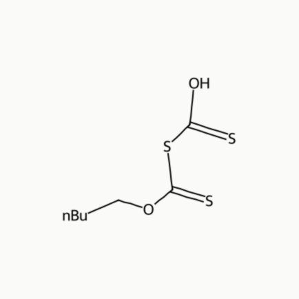 CCCCCOC(=S)SC(O)=S